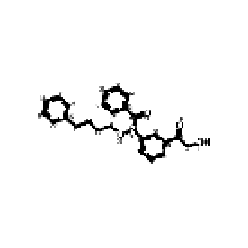 O=C(CO)c1cccc(N(OCCCCc2ccccc2)C(=O)c2ccccc2)c1